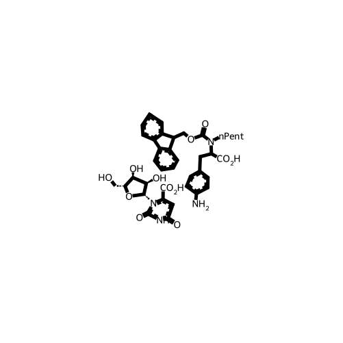 CCCCCN(C(=O)OCC1c2ccccc2-c2ccccc21)C(Cc1ccc(N)cc1)C(=O)O.O=C(O)c1cc(=O)[nH]c(=O)n1[C@@H]1O[C@H](CO)[C@@H](O)[C@H]1O